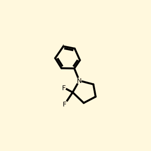 FC1(F)CCCN1c1cc[c]cc1